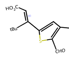 Cc1cc(/C(=C/C(=O)O)C(C)(C)C)sc1C=O